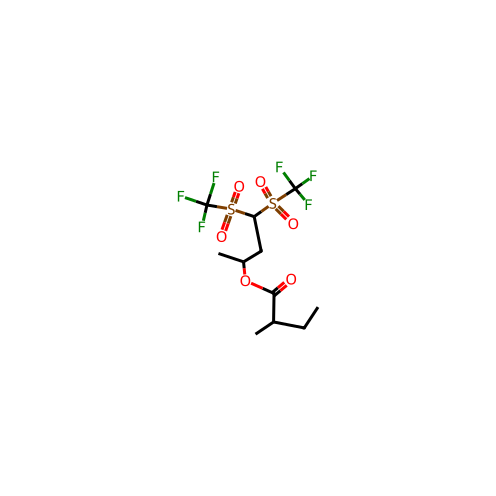 CCC(C)C(=O)OC(C)CC(S(=O)(=O)C(F)(F)F)S(=O)(=O)C(F)(F)F